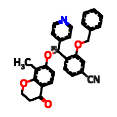 Cc1c(O[C@H](c2ccncc2)c2ccc(C#N)cc2OCc2ccccc2)ccc2c1OCCC2=O